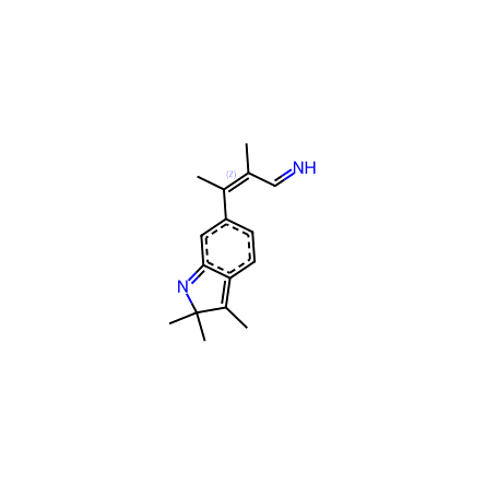 CC1=c2ccc(/C(C)=C(/C)C=N)cc2=NC1(C)C